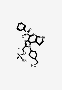 C[C@@H](O[Si](C)(C)C(C)(C)C)c1nc2c(S(=O)(=O)c3ccccc3)nc3[nH]ccc3c2n1C1CCC(CO)CC1